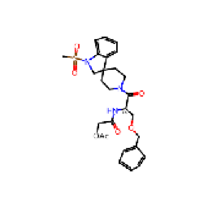 CC(=O)OCC(=O)N[C@H](COCc1ccccc1)C(=O)N1CCC2(CC1)CN(S(C)(=O)=O)c1ccccc12